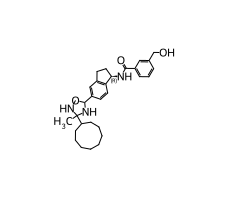 CC1(C2CCCCCCCC2)NOC(c2ccc3c(c2)CC[C@H]3NC(=O)c2cccc(CO)c2)N1